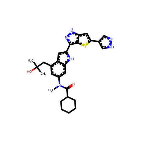 CN(C(=O)C1CCCCC1)c1cc(CC(C)(C)O)c2cc(-c3n[nH]c4cc(-c5cn[nH]c5)sc34)[nH]c2c1